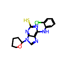 Sc1nc(Nc2ccccc2Cl)c2ncn(C3CCCCO3)c2n1